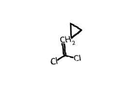 C1CC1.C=C(Cl)Cl